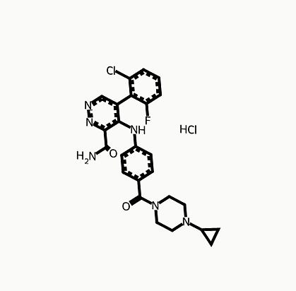 Cl.NC(=O)c1nncc(-c2c(F)cccc2Cl)c1Nc1ccc(C(=O)N2CCN(C3CC3)CC2)cc1